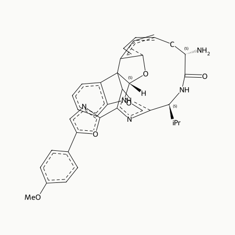 COc1ccc(-c2cnc(-c3nc4oc3C35c6ccccc6N[C@H]3Oc3ccc(cc35)C[C@H](N)C(=O)N[C@H]4C(C)C)o2)cc1